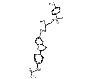 Cc1ccc(S(=O)(=O)OCC(O)COc2ccc3nc(-c4ccc(NC(=O)C(F)(F)F)cc4)ccc3c2)cc1